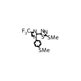 CSc1ccc(-n2cc(C(F)(F)F)nc2-c2nnc(SC)s2)cc1